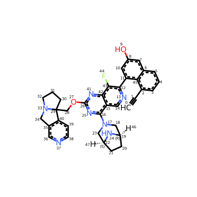 C#Cc1cccc2cc(O)cc(-c3ncc4c(N5C[C@H]6CC[C@@H](C5)N6)nc(OCC56CCCN5Cc5cnccc56)nc4c3F)c12